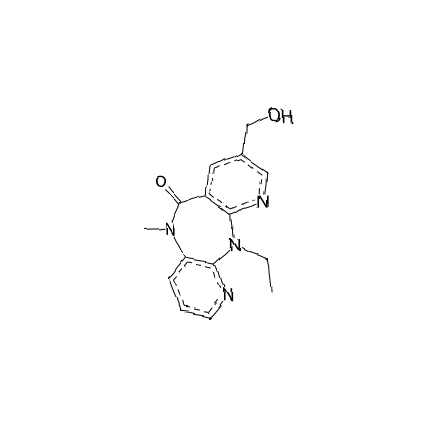 CCN1c2ncc(CO)cc2C(=O)N(C)c2cccnc21